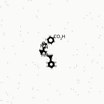 O=C(O)[C@H]1CC[C@H](c2nc(C3(CNC4CC4c4ccccc4)CC3)no2)CC1